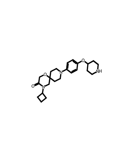 O=C1COC2(CCN(c3ccc(OC4CCNCC4)cc3)CC2)CN1C1CCC1